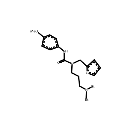 CCN(CC)CCCN(Cc1ccco1)C(=S)Nc1ccc(OC)cc1